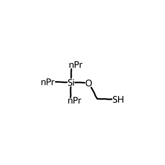 CCC[Si](CCC)(CCC)OCS